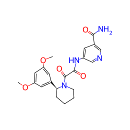 COc1cc(OC)cc([C@@H]2CCCCN2C(=O)C(=O)Nc2cncc(C(N)=O)c2)c1